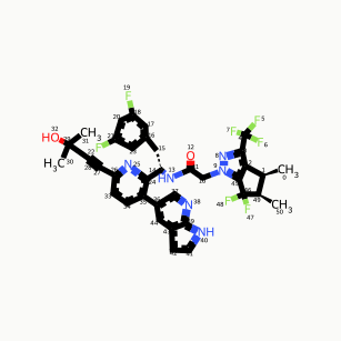 C[C@@H]1c2c(C(F)(F)F)nn(CC(=O)N[C@@H](Cc3cc(F)cc(F)c3)c3nc(C#CC(C)(C)O)ccc3-c3cnc4[nH]ccc4c3)c2C(F)(F)[C@@H]1C